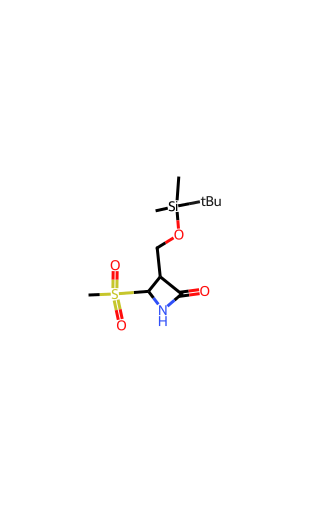 CC(C)(C)[Si](C)(C)OCC1C(=O)NC1S(C)(=O)=O